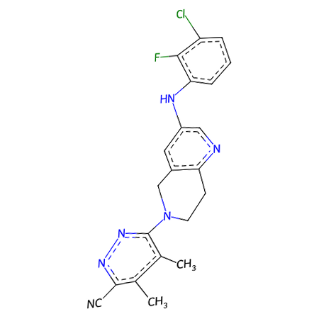 Cc1c(C#N)nnc(N2CCc3ncc(Nc4cccc(Cl)c4F)cc3C2)c1C